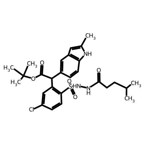 Cc1cc2cc(C(C(=O)OC(C)(C)C)c3cc(Cl)ccc3S(=O)(=O)NNC(=O)CCC(C)C)ccc2[nH]1